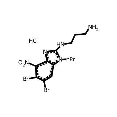 CCCn1c(NCCCN)nc2c([N+](=O)[O-])c(Br)c(Br)cc21.Cl